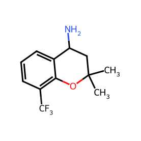 CC1(C)CC(N)c2cccc(C(F)(F)F)c2O1